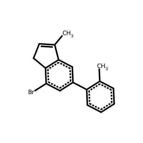 CC1=CCc2c(Br)cc(-c3ccccc3C)cc21